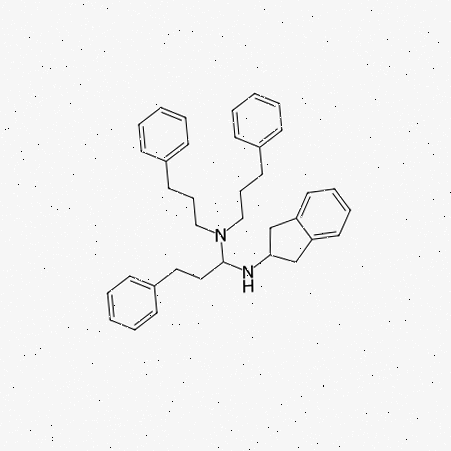 c1ccc(CCCN(CCCc2ccccc2)C(CCc2ccccc2)NC2Cc3ccccc3C2)cc1